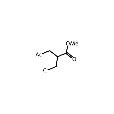 COC(=O)C(CCl)CC(C)=O